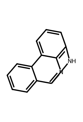 c1ccc2c(c1)c1nc3c(cccc23)[nH]1